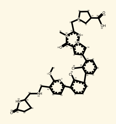 COc1nc(-c2cccc(-c3cccc(-c4cc5c(=O)n(C)c(CN6CCC(C(=O)O)C6)nn5c4)c3Cl)c2Cl)ccc1CNCC1CCC(=O)N1